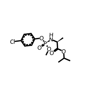 CO[P@@](=O)(N[C@@H](C)C(=O)OC(C)C)Oc1ccc(Cl)cc1